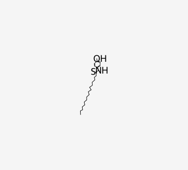 CCCCCCCCCCCCCCCCCC(=S)Nc1ccc(O)cc1